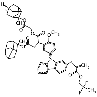 C=C(Cc1ccc2c(c1)[SiH](c1ccc(OC)c(C(CC(=O)OC3(C)C4CC5CC(C4)CC3C5)C(=O)OCC(=O)OC3(C)C4CC5C[C@@H](C4)CC53)c1)c1ccccc1-2)C(=O)OCC(C)(F)F